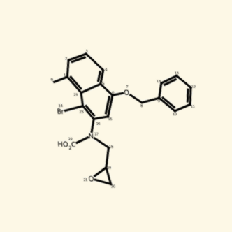 Cc1cccc2c(OCc3ccccc3)cc(N(CC3CO3)C(=O)O)c(Br)c12